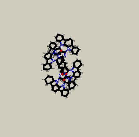 C1=Cc2c(c3ccc4c5ccccc5n(-c5ccccc5)c4c3n2-c2cc(-n3c4ccccc4c4ccc5c6ccccc6n(-c6ccccc6)c5c43)nc(-c3ccc(-c4nc(-n5c6ccccc6c6ccc7c8ccccc8n(-c8ccccc8)c7c65)cc(-n5c6ccccc6c6ccc7c8ccccc8n(-c8ccccc8)c7c65)n4)cc3)n2)CC1